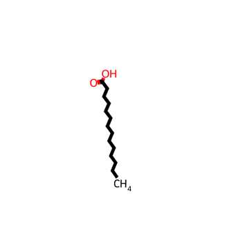 C.CCCCCCCCCCCCCC(=O)O